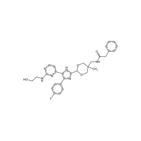 CC1(CNC(=O)Cc2ccccc2)COC(c2nc(-c3ccc(F)cc3)c(-c3ccnc(NCCO)n3)[nH]2)OC1